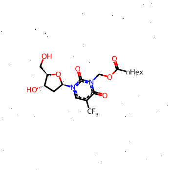 CCCCCCC(=O)OCn1c(=O)c(C(F)(F)F)cn([C@H]2C[C@H](O)[C@@H](CO)O2)c1=O